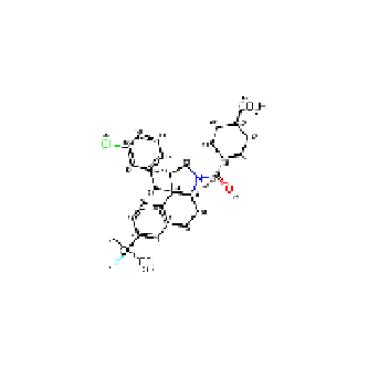 CC(F)(c1ccc2c(c1)CCC1N(C(=O)[C@H]3CC[C@H](C(=O)O)CC3)CCC21Cc1cccc(Cl)c1)C(F)(F)F